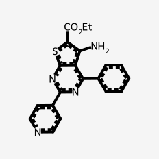 CCOC(=O)c1sc2nc(-c3ccncc3)nc(-c3ccccc3)c2c1N